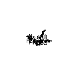 CCCCNC(=O)c1c(NC(=O)CCC)sc2c1CC(NC(=S)Nc1cc(C)nn1C)CC2